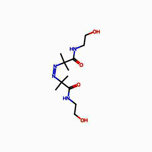 CC(C)(/N=N\C(C)(C)C(=O)NCCO)C(=O)NCCO